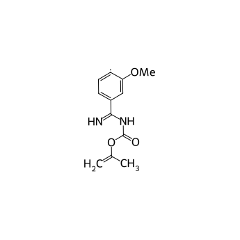 C=C(C)OC(=O)NC(=N)c1cc[c]c(OC)c1